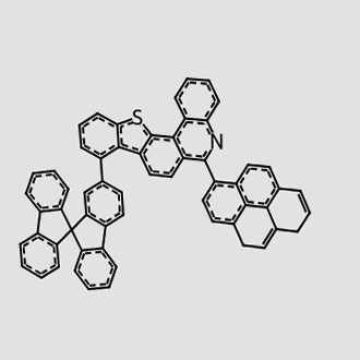 C1=Cc2ccc3c(-c4nc5ccccc5c5c4ccc4c5sc5cccc(-c6ccc7c(c6)C6(c8ccccc8-c8ccccc86)c6ccccc6-7)c54)ccc4c3c2C(=CC4)C1